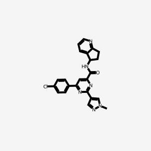 Cn1cc(-c2nc(C(=O)NC3CCc4ncccc43)cc(-c3ccc(Cl)cc3)n2)cn1